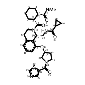 CNC(=O)[C@H]1CCCC[C@H]1C(=O)N1CCc2cccc(O[C@H]3CCN(C(=O)c4cncs4)C3)c2[C@H]1CNC(=O)C1CC1